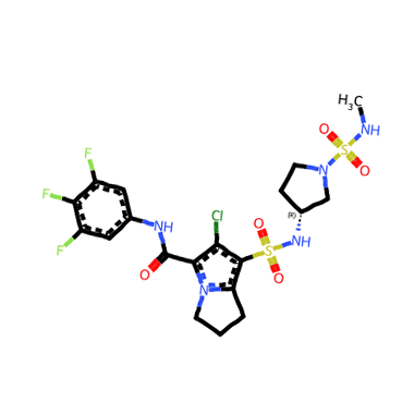 CNS(=O)(=O)N1CC[C@@H](NS(=O)(=O)c2c(Cl)c(C(=O)Nc3cc(F)c(F)c(F)c3)n3c2CCC3)C1